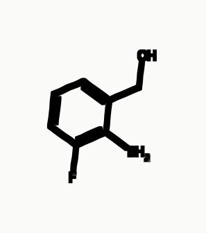 Bc1c(F)cccc1CO